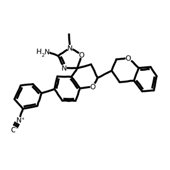 [C-]#[N+]c1cccc(-c2ccc3c(c2)C2(CC(C4COc5ccccc5C4)O3)N=C(N)N(C)O2)c1